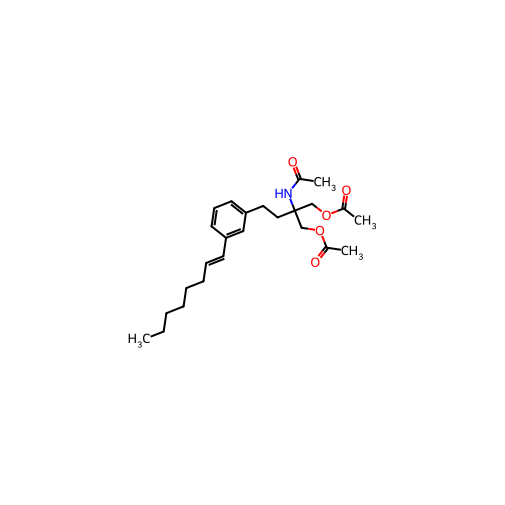 CCCCCCC=Cc1cccc(CCC(COC(C)=O)(COC(C)=O)NC(C)=O)c1